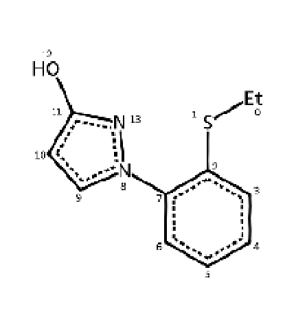 CCSc1ccccc1-n1ccc(O)n1